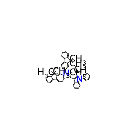 C#Cc1c(CC(C)N(C2=CCC=C3C(=C2)C(C)(C)c2ccccc23)c2ccc3c(c2)C(C)(C)c2ccccc2-3)c2ccccc2n1-c1ccccc1